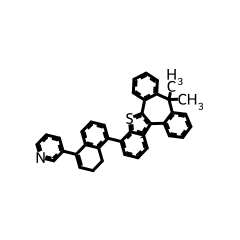 CC1(C)c2ccccc2-c2sc3c(-c4cccc5c4CCC=C5c4cccnc4)cccc3c2-c2ccccc21